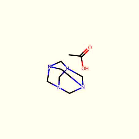 C1N2CN3CN1CN(C2)C3.CC(=O)O